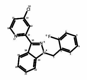 Fc1ccccc1Cn1nc(-c2cc(Cl)ccn2)c2ccccc21